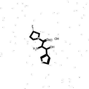 Cl.Cl.NC(C(=O)N1CC[C@H](F)C1)C(O)c1ccsc1